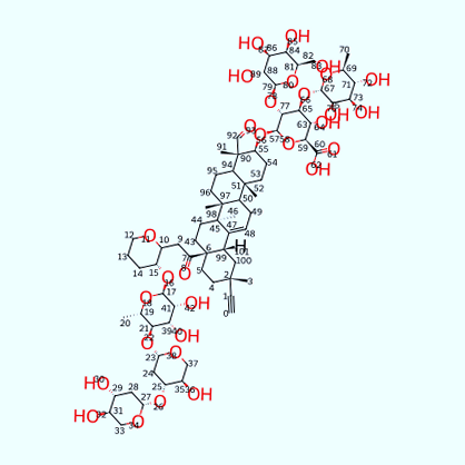 C#C[C@]1(C)CC[C@]2(C(=O)CC3OCCC[C@H]3O[C@@H]3O[C@@H](C)[C@H](O[C@H]4C[C@@H](O[C@H]5C[C@@H](O)[C@H](O)CO5)[C@H](O)CO4)[C@@H](O)[C@H]3O)CC[C@]3(C)C(=CCC4[C@@]5(C)CC[C@H](O[C@@H]6O[C@H](C(=O)O)[C@@H](O)[C@H](O[C@@H]7O[C@@H](C)[C@H](O)[C@@H](O)[C@H]7O)[C@H]6O[C@@H]6O[C@H](CO)[C@H](O)[C@H](O)[C@H]6O)[C@@](C)(C=O)C5CC[C@]43C)[C@@H]2C1